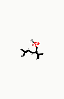 C=C(C)C(CO)CC=C(C)C.CCO